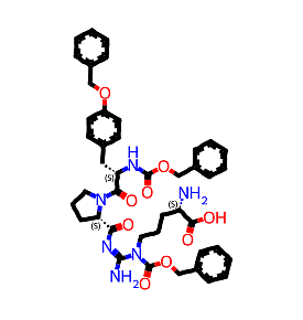 NC(=NC(=O)[C@@H]1CCCN1C(=O)[C@H](Cc1ccc(OCc2ccccc2)cc1)NC(=O)OCc1ccccc1)N(CCC[C@H](N)C(=O)O)C(=O)OCc1ccccc1